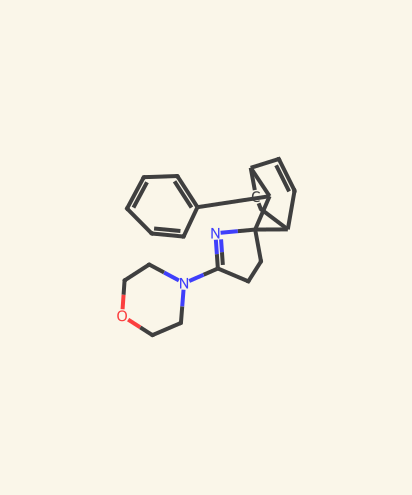 C1=CC2CCC1C(c1ccccc1)C21CCC(N2CCOCC2)=N1